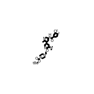 Cc1ncc(NC(=O)c2cccc(C(F)(F)F)c2)cc1-c1cnc(OCCN2CCN(C(=O)OC(C)(C)C)CC2)c(N(C)C)c1